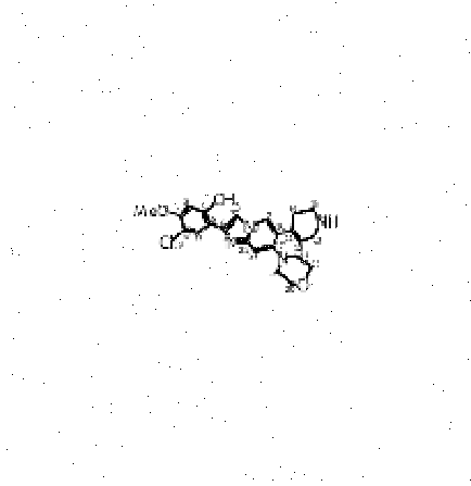 COc1cc(C)c(-c2cn3cc(C4=CCNCC4)c(N4CCOCC4)cc3n2)cc1Cl